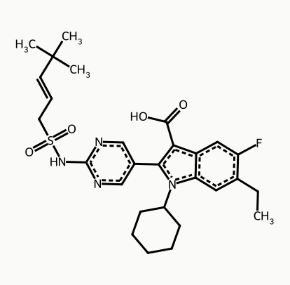 CCc1cc2c(cc1F)c(C(=O)O)c(-c1cnc(NS(=O)(=O)CC=CC(C)(C)C)nc1)n2C1CCCCC1